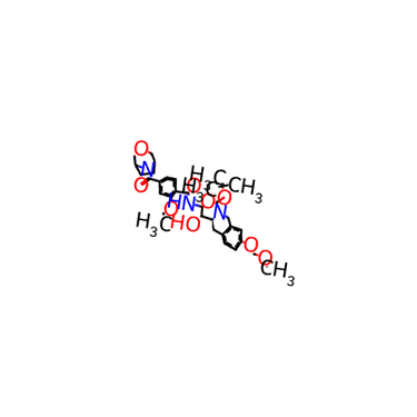 CCOc1cc(C(=O)N2C3CCC2COC3)ccc1C(=O)NC[C@@H](O)[C@@H]1Cc2ccc(OCOC)cc2CN1C(=O)OC(C)(C)C